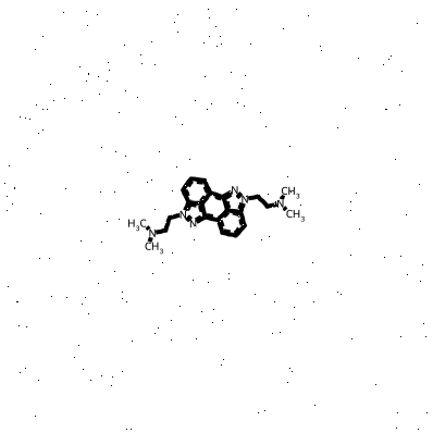 CN(C)CCn1nc2c3cccc4c3c(nn4CCN(C)C)c3cccc1c32